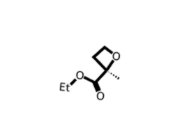 CCOC(=O)[C@@]1(C)CCO1